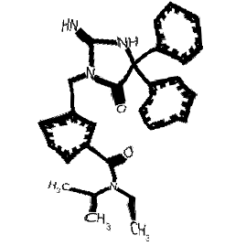 CCN(C(=O)c1cccc(CN2C(=N)NC(c3ccccc3)(c3ccccc3)C2=O)c1)C(C)C